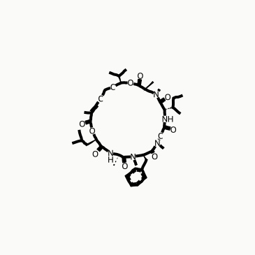 CCC(C)[C@@H]1NC(=O)CN(C)C(=O)[C@@H](Cc2ccccc2)N(C)C(=O)[C@H](C)NC(=O)[C@@H](CC(C)C)OC(=O)/C(C)=C/CCC[C@@H](C(C)C)OC(=O)[C@@H](C)N(C)C1=O